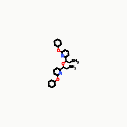 [SiH3]CC(OC(C[SiH3])c1cccc(Oc2ccccc2)n1)c1cccc(Oc2ccccc2)n1